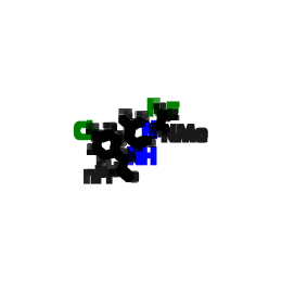 C=C(CCC)C(NC1=CN(C(NC)C(F)F)CC(C)=C1)C1=CC=C(Cl)CC1